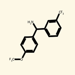 NC(c1ccc(OC(F)(F)F)cc1)c1cccc(C(F)(F)F)c1